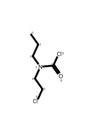 CCCN(CCCl)C(=O)Cl